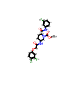 CC(C)(C)OC(=O)N1CC(NC(=O)COc2ccc(Cl)c(F)c2)CC[C@H]1C(=O)Nc1cccc(F)c1